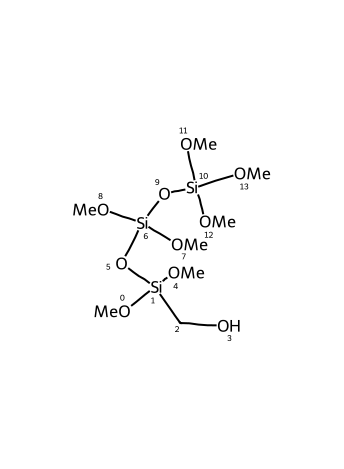 CO[Si](CO)(OC)O[Si](OC)(OC)O[Si](OC)(OC)OC